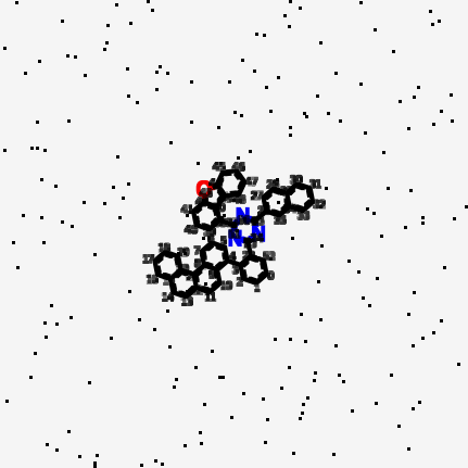 c1ccc(-c2cccc3c2ccc2ccc4ccccc4c23)c(-c2nc(-c3ccc4ccccc4c3)nc(-c3cccc4oc5ccccc5c34)n2)c1